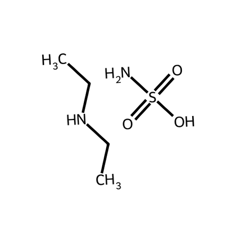 CCNCC.NS(=O)(=O)O